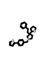 c1ccc(CCC2(C3CCCO3)CCN(Cc3ccc(-c4ccco4)cc3)C2)cc1